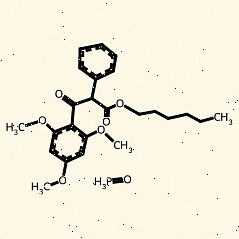 CCCCCCOC(=O)C(C(=O)c1c(OC)cc(OC)cc1OC)c1ccccc1.O=[PH3]